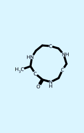 CC1CC(=O)NCCCNCCCCN1